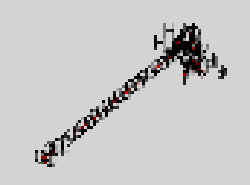 CC(C)[C@H](NC(=O)CCOCCOCCOCCOCCOCCOCCOCCOCCOCCOCCOCCOCCOCCOCCOCCOCCOCCOCCOCCOCCNC(=O)CCN1C(=O)C=CC1=O)C(=O)N[C@@H](CCCNC(N)=O)C(=O)NCCCN(C(=O)CO)[C@@H](c1nc(-c2cc(F)ccc2F)cn1Cc1ccccc1)C(C)(C)C